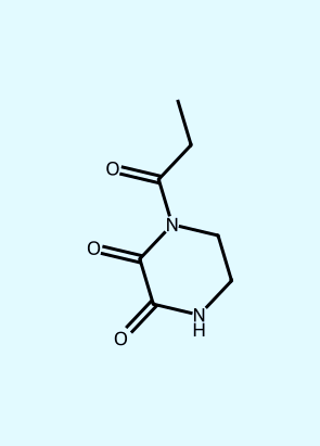 CCC(=O)N1CCNC(=O)C1=O